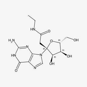 CCNC(=O)C[C@@]1(n2cnc3c(=O)[nH]c(N)nc32)O[C@H](CO)[C@@H](O)[C@H]1O